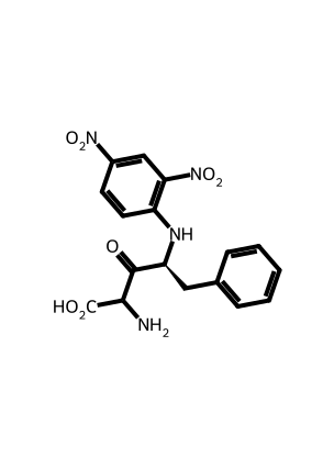 NC(C(=O)O)C(=O)[C@H](Cc1ccccc1)Nc1ccc([N+](=O)[O-])cc1[N+](=O)[O-]